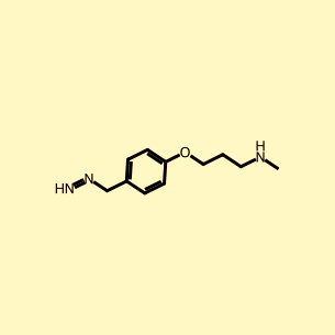 CNCCCOc1ccc(CN=N)cc1